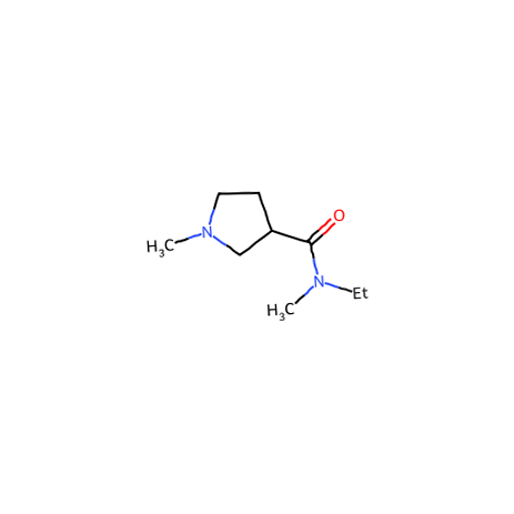 [CH2]CN(C)C(=O)C1CCN(C)C1